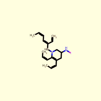 C=C/C(BN1CC(NI)CC(/C=C\C)=C1/C=C\C)=C\C=C/C